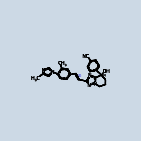 Cc1cn(-c2ccc(/C=C/c3nc4n(n3)CCC[C@@]4(O)c3ccc(C#N)cc3)cc2C)cn1